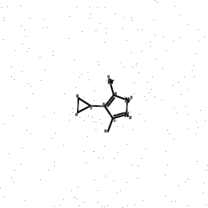 CC1=N[N]C(Br)=C1C1CC1